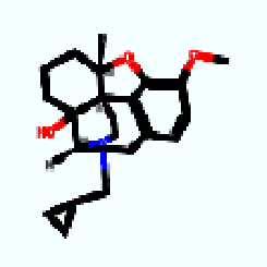 COc1ccc2c3c1O[C@H]1CCCC4(O)[C@@H](C2)N(CC2CC2)CC[C@]314